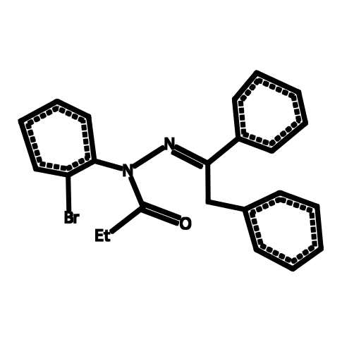 CCC(=O)N(/N=C(\Cc1ccccc1)c1ccccc1)c1ccccc1Br